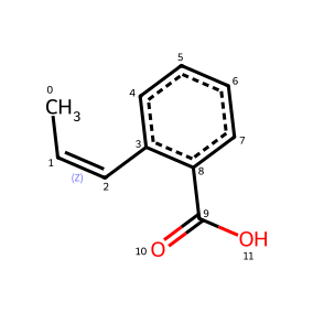 C/C=C\c1ccccc1C(=O)O